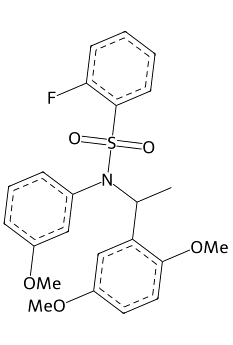 COc1cccc(N(C(C)c2cc(OC)ccc2OC)S(=O)(=O)c2ccccc2F)c1